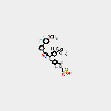 COc1ccc(-c2cccc(-c3cc(C(Cc4ccc(C(=O)NCCS(=O)(=O)O)cc4)c4ccc(C(C)(C)C)cc4)no3)c2)c(F)c1F